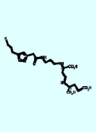 O=C(O)CC[C@H](NCC[C@@H](NCCCNC(=O)Cn1cc(CCCF)nn1)C(=O)O)C(=O)O